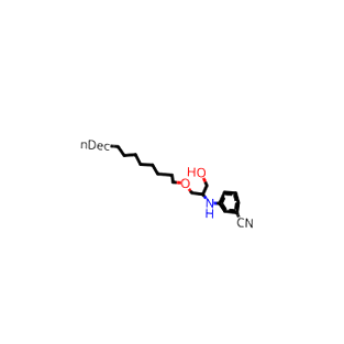 CCCCCCCCCCCCCCCCCCOCC(CO)Nc1cccc(C#N)c1